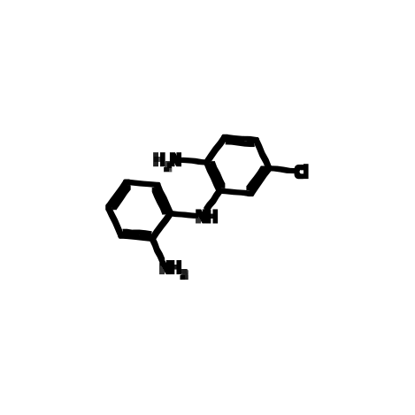 Nc1ccccc1Nc1cc(Cl)ccc1N